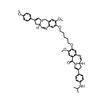 COc1ccc(C2=CN3Cc4cc(OC)c(OCCCCCOc5cc6c(cc5OC)C(=O)N5C=C(c7ccc(NC(C)C)cc7)C[C@H]5C=N6)cc4N=C[C@@H]3C2)cc1